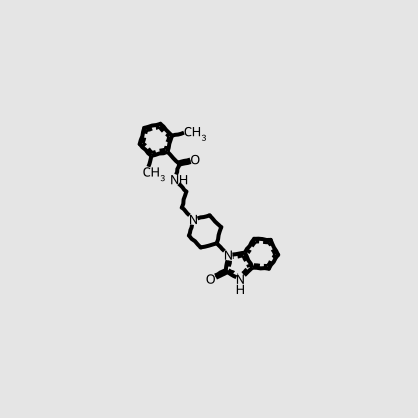 Cc1cccc(C)c1C(=O)NCCN1CCC(n2c(=O)[nH]c3ccccc32)CC1